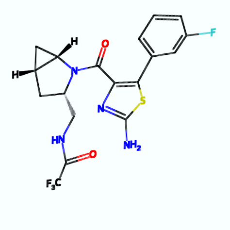 Nc1nc(C(=O)N2[C@H](CNC(=O)C(F)(F)F)C[C@@H]3C[C@@H]32)c(-c2cccc(F)c2)s1